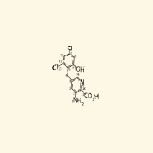 Nc1cc(Cc2c(O)cc(Cl)cc2Cl)cnc1C(=O)O